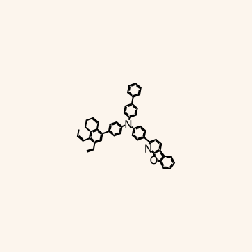 C=Cc1cc(-c2ccc(N(c3ccc(-c4ccccc4)cc3)c3ccc(-c4ccc5c(n4)oc4ccccc45)cc3)cc2)c2c(c1/C=C\C)CCC=C2